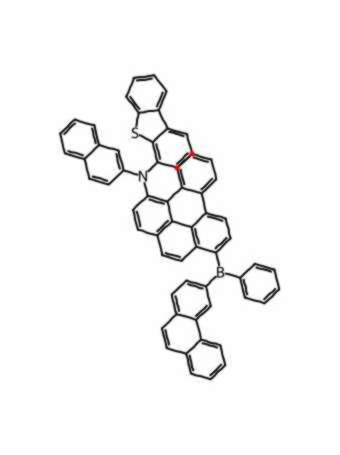 c1ccc(B(c2ccc3ccc4ccccc4c3c2)c2ccc3c4ccccc4c4c(N(c5ccc6ccccc6c5)c5cccc6c5sc5ccccc56)ccc5ccc2c3c54)cc1